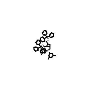 Cc1cc(C)cc(P(CC2CC(COC(c3ccccc3)(c3ccccc3)c3ccccc3)C2COC(c2ccccc2)(c2ccccc2)c2ccccc2)c2cc(C)cc(C)c2)c1